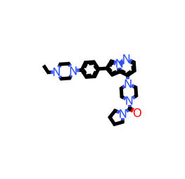 CCN1CCN(c2ccc(-c3cc4c(N5CCN(C(=O)N6CCCC6)CC5)ccnn4c3)cc2)CC1